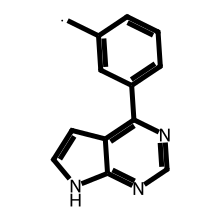 [CH2]c1cccc(-c2ncnc3[nH]ccc23)c1